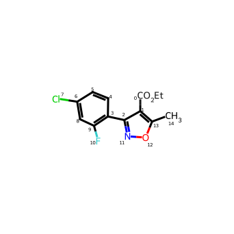 CCOC(=O)c1c(-c2ccc(Cl)cc2F)noc1C